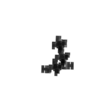 F[B-](F)(F)F.F[B-](F)(F)F.F[B-](F)(F)F.I.[LiH]